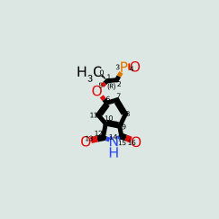 C[C@H](CP=O)Oc1ccc2c(c1)C(=O)NC2=O